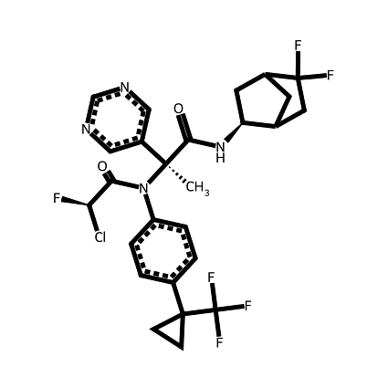 C[C@@](C(=O)N[C@H]1CC2CC1CC2(F)F)(c1cncnc1)N(C(=O)[C@H](F)Cl)c1ccc(C2(C(F)(F)F)CC2)cc1